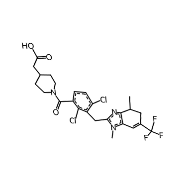 CC1CC(C(F)(F)F)=Cc2c1nc(Cc1c(Cl)ccc(C(=O)N3CCC(CC(=O)O)CC3)c1Cl)n2C